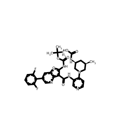 C[C@@H]1C[C@H](NC(=O)O)CN(c2ccncc2NC(=O)c2c(NC(=O)OC(C)(C)C)oc3cc(-c4c(F)cccc4F)cnc23)C1